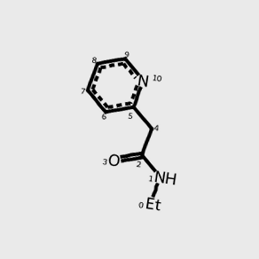 CCNC(=O)Cc1ccccn1